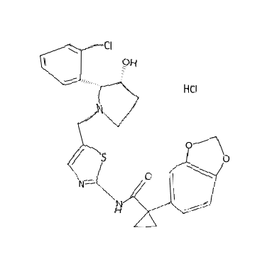 Cl.O=C(Nc1ncc(CN2CC[C@@H](O)[C@H]2c2ccccc2Cl)s1)C1(c2ccc3c(c2)OCO3)CC1